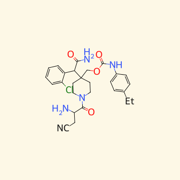 CCc1ccc(NC(=O)OCC2(C(C(N)=O)c3ccccc3Cl)CCN(C(=O)C(N)CC#N)CC2)cc1